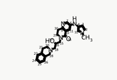 Cn1ccc(Nc2cnc3c(c2)C(=O)N(CC(O)CN2CCc4ccccc4C2)CC3)c1